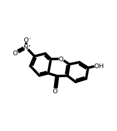 O=c1c2ccc(O)cc2oc2cc([N+](=O)[O-])ccc12